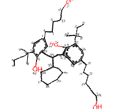 CCC(C)(C)c1cc(CCCCCO)cc(C(c2cc(CCCCCO)cc(C(C)(C)CC)c2O)C2CCCCC2)c1O